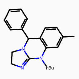 CCCCN1C2=NCCN2C(c2ccccc2)c2ccc(C)cc21